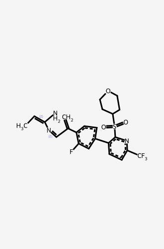 C=C(/C=N\C(N)=C/C)c1ccc(-c2ccc(C(F)(F)F)nc2S(=O)(=O)C2CCOCC2)cc1F